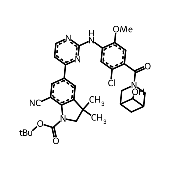 COc1cc(C(=O)N2CC3CC(C2)C3O)c(Cl)cc1Nc1nccc(-c2cc(C#N)c3c(c2)C(C)(C)CN3C(=O)OC(C)(C)C)n1